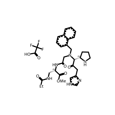 CCC(=O)NC[C@H](NC(=O)CN(Cc1cccc2ccccc12)C(C(=O)Cc1c[nH]cn1)[C@@H]1CCCN1)C(=O)OC.O=C(O)C(F)(F)F